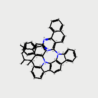 CC1CC(C)(C)c2cccc3c2C1(C)c1cccc2c4ccc5c6ccccc6n(-c6nc(-c7ccccc7)nc7c6ccc6ccccc67)c5c4n-3c12